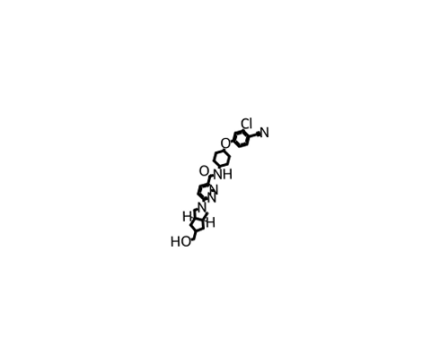 N#Cc1ccc(OC2CCC(NC(=O)c3ccc(N4C[C@H]5CC(CO)C[C@H]5C4)nn3)CC2)cc1Cl